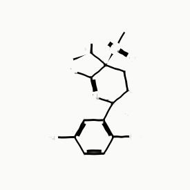 C[C@@H](F)[C@]1(S(C)(=O)=O)CC[C@@](C)(c2cc(Br)ccc2F)N=C1N